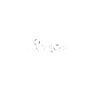 CC(C)(c1ccccc1C(N)=O)[C@H](O)C(Cc1cc2nc(S(C)(=O)=O)ccc2[nH]1)C(F)(F)F